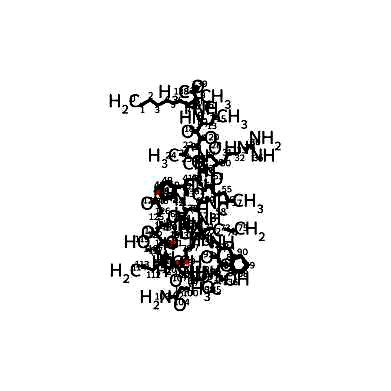 C=CCCCCCC[C@](C)(NN[C@@H](CC(C)C)C(=O)C(=O)[C@H](CC(C)C)NC(=O)C(CCCNC(=N)N)NC(=O)[C@H](Cc1c[nH]c2ccccc12)NC(=O)C(CC(C)C)NC(=O)[C@H](CC(N)=O)NC(=O)C(CCCC=C)(CCCC=C)NN[C@@H](Cc1ccccc1)C(=O)C(=O)[C@@H](NC(=O)[C@H](CCC(N)=O)NC(=O)[C@@](C)(CCCC=C)NN[C@@H](CO)C(=O)C(=O)[C@H](CCC(N)=O)NC(C)=O)[C@@H](C)O)C(C)=O